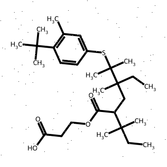 CCC(C)(C)C(CC(C)(CC)C(C)(C)Sc1ccc(C(C)(C)C)c(C)c1)C(=O)OCCC(=O)O